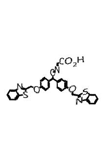 O=C(O)C=NOC(c1ccc(OCc2nc3ccccc3s2)cc1)c1ccc(OCc2nc3ccccc3s2)cc1